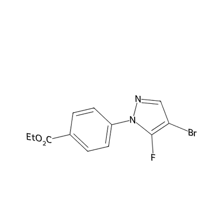 CCOC(=O)c1ccc(-n2ncc(Br)c2F)cc1